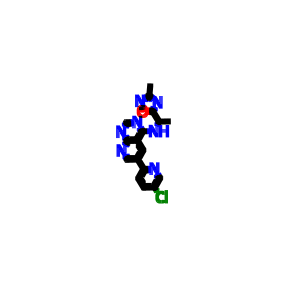 Cc1noc(C(C)Nc2ncnc3ncc(-c4ccc(Cl)cn4)cc23)n1